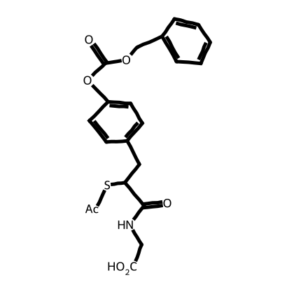 CC(=O)SC(Cc1ccc(OC(=O)OCc2ccccc2)cc1)C(=O)NCC(=O)O